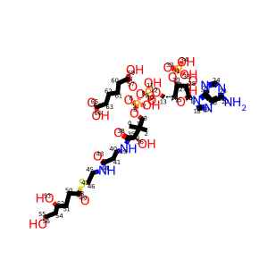 CC(C)(COP(=O)(O)OP(=O)(O)OC[C@H]1O[C@@H](n2cnc3c(N)ncnc32)[C@H](O)[C@@H]1OP(=O)(O)O)[C@@H](O)C(=O)NCCC(=O)NCCSC(=O)CCC(O)CCO.O=C(O)CCCCC(=O)O